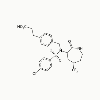 O=C(O)CCc1ccc(CN(C2CC(C(F)(F)F)CCNC2=O)S(=O)(=O)c2ccc(Cl)cc2)cc1